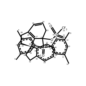 Cc1cc(C)cc(P(=O)(c2cc(C)cc(C)c2)C2(OS(=O)(=O)C(F)(F)F)CC=CC3=C2[C@@]2(CC3)CCc3ccccc32)c1